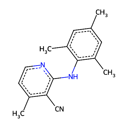 Cc1cc(C)c(Nc2nccc(C)c2C#N)c(C)c1